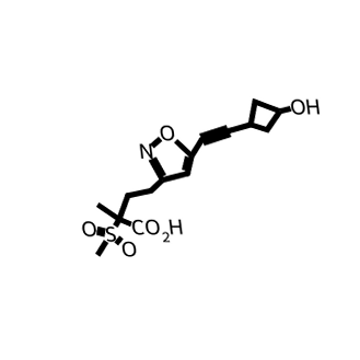 CC(CCc1cc(C#CC2CC(O)C2)on1)(C(=O)O)S(C)(=O)=O